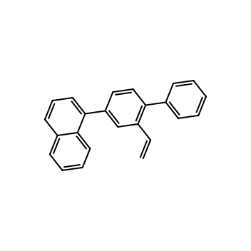 C=Cc1cc(-c2cccc3ccccc23)ccc1-c1ccccc1